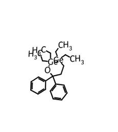 C[CH2][Ge]1([CH2]C)[CH2]CC(c2ccccc2)(c2ccccc2)[O][Ge]1([CH2]C)[CH2]C